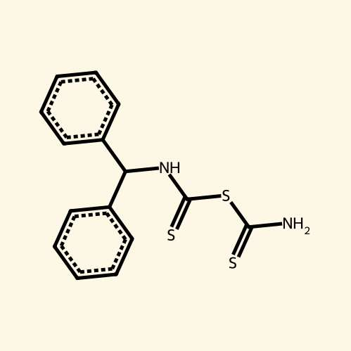 NC(=S)SC(=S)NC(c1ccccc1)c1ccccc1